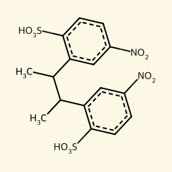 CC(c1cc([N+](=O)[O-])ccc1S(=O)(=O)O)C(C)c1cc([N+](=O)[O-])ccc1S(=O)(=O)O